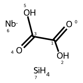 O=C(O)C(=O)O.[Nb].[SiH4]